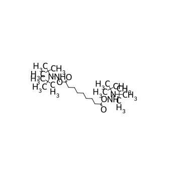 CC(C)(C)N(NOC(=O)CCCCCCCC(=O)ONN(C(C)(C)C)C(C)(C)C)C(C)(C)C